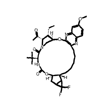 CC[C@@H]1[C@@H]2CN(C(=O)[C@H](C(C)(C)C)NC(=O)O[C@@H]3CC4C([C@H]3CCCCCc3nc5ccc(OC)cc5nc3O2)C4(F)F)[C@@H]1C(C)=O